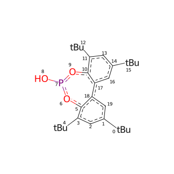 CC(C)(C)c1cc(C(C)(C)C)c2op(O)oc3c(C(C)(C)C)cc(C(C)(C)C)cc3c2c1